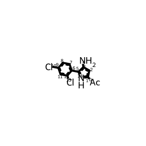 CC(=O)c1cc(N)c(-c2ccc(Cl)cc2Cl)[nH]1